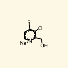 OCc1nccc([S-])c1Cl.[Na+]